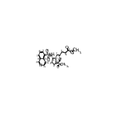 COC(=O)CCCC[C@@H]1[C@@H](NS(=O)(=O)c2cccc3cnccc23)CCN1S(C)(=O)=O